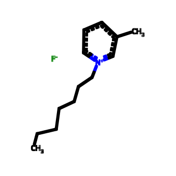 CCCCCCC[n+]1cccc(C)c1.[F-]